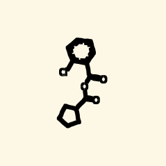 O=C(OC(=O)C1CCCC1)c1ccccc1Cl